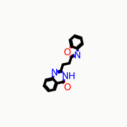 O=c1[nH]c(CCc2nc3ccccc3o2)nc2ccccc12